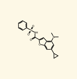 CN(C)c1cc(C2CC2)cc2oc(C(=O)NS(=O)(=O)c3ccccc3)cc12